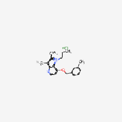 CCCn1c(C)c(C)c2nccc(OCc3cccc(C)c3)c21.Cl